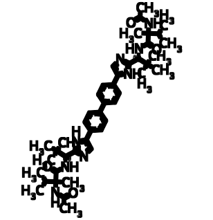 CC(=O)NC(C)(C(=O)N[C@H](c1ncc(-c2ccc(-c3ccc(-c4cnc([C@@H](NC(=O)C(C)(NC(C)=O)C(C)C)C(C)(C)C)[nH]4)cc3)cc2)[nH]1)C(C)(C)C)C(C)C